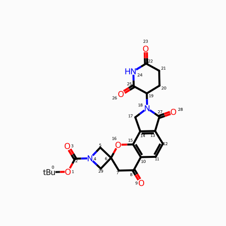 CC(C)(C)OC(=O)N1CC2(CC(=O)c3ccc4c(c3O2)CN(C2CCC(=O)NC2=O)C4=O)C1